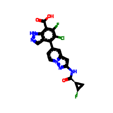 O=C(O)c1c(F)c(Cl)c(-c2ccn3nc(NC(=O)[C@@H]4C[C@@H]4F)cc3c2)c2cn[nH]c12